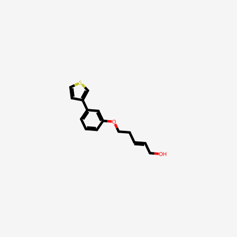 OCC=CCCOc1cccc(-c2ccsc2)c1